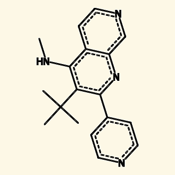 CNc1c(C(C)(C)C)c(-c2ccncc2)nc2cnccc12